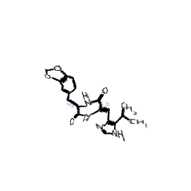 C=C(C)c1[nH]cnc1/C=c1\[nH]c(=O)/c(=C/c2ccc3c(c2)OCO3)[nH]c1=O